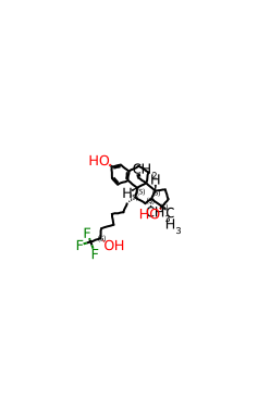 C=CC12CCc3cc(O)ccc3[C@H]1[C@@H](CCCCC[C@H](O)C(F)(F)F)C[C@@]1(C)[C@H]2CC[C@]1(C)O